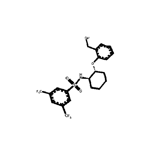 O=S(=O)(N[C@@H]1CCCC[C@H]1Oc1ccccc1CO)c1cc(C(F)(F)F)cc(C(F)(F)F)c1